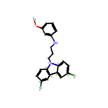 CCOc1cccc(NCCCn2c3ccc(Br)cc3c3cc(Br)ccc32)c1